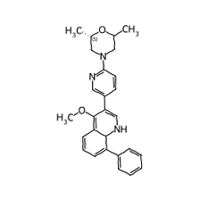 COC1=C2C=CC=C(c3ccccc3)C2NC=C1c1ccc(N2CC(C)O[C@@H](C)C2)nc1